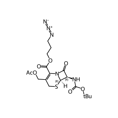 CC(=O)OCC1=C(C(=O)OCCCN=[N+]=[N-])N2C(=O)[C@@H](NC(=O)OC(C)(C)C)[C@H]2SC1